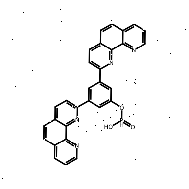 O=[PH](O)Oc1cc(-c2ccc3ccc4cccnc4c3n2)cc(-c2ccc3ccc4cccnc4c3n2)c1